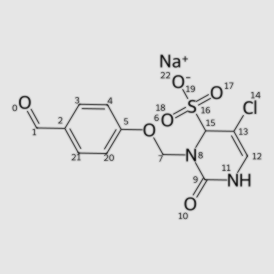 O=Cc1ccc(OCN2C(=O)NC=C(Cl)C2S(=O)(=O)[O-])cc1.[Na+]